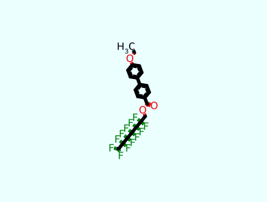 CCOc1ccc(-c2ccc(C(=O)OCC(F)(F)C(F)(F)C(F)(F)C(F)(F)C(F)(F)C(F)F)cc2)cc1